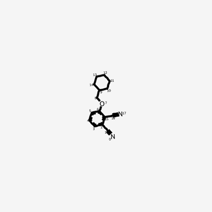 N#Cc1cccc(OCC2CCCCC2)c1C#N